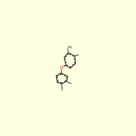 Cc1ccc(Oc2ccc(C)c(C(C)C)c2)cc1C